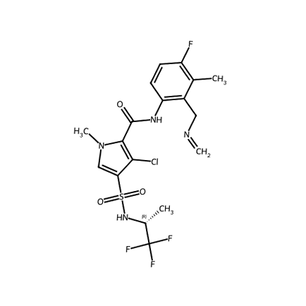 C=NCc1c(NC(=O)c2c(Cl)c(S(=O)(=O)N[C@H](C)C(F)(F)F)cn2C)ccc(F)c1C